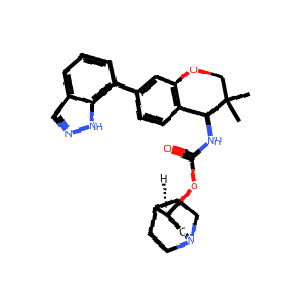 CC1(C)COc2cc(-c3cccc4cn[nH]c34)ccc2C1NC(=O)O[C@H]1CN2CCC1CC2